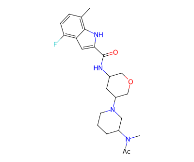 CC(=O)N(C)C1CCCN(C2COCC(NC(=O)c3cc4c(F)ccc(C)c4[nH]3)C2)C1